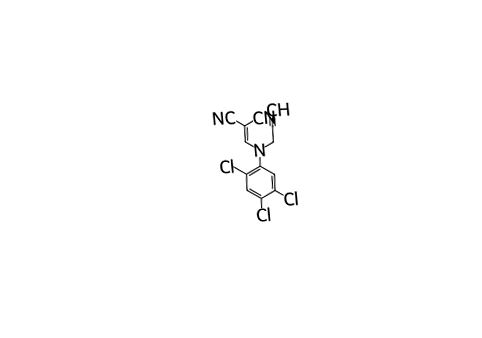 C#CCN(C=C(C#N)C#N)c1cc(Cl)c(Cl)cc1Cl